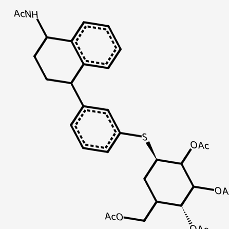 CC(=O)NC1CCC(c2cccc(S[C@@H]3CC(COC(C)=O)[C@@H](OC(C)=O)C(OC(C)=O)C3OC(C)=O)c2)c2ccccc21